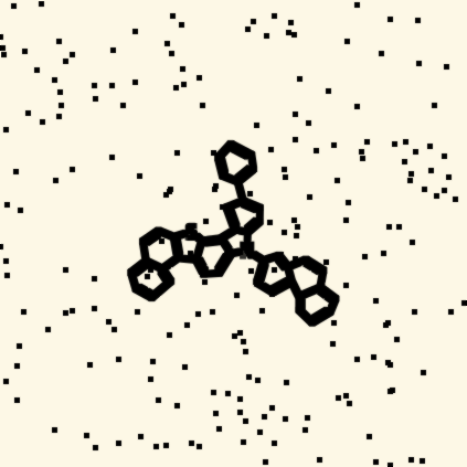 c1ccc(-c2ccc3c(c2)c2c4sc5ccc6ccccc6c5c4ccc2n3-c2ccc3c(ccc4ccccc43)c2)cc1